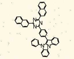 c1ccc(-n2c3ccccc3n3c4ccccc4c(-c4ccc(-c5nc(-c6ccc7ccccc7c6)nc(-c6ccc7ccccc7c6)n5)cc4)c23)cc1